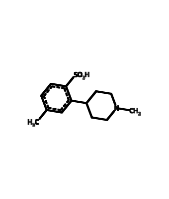 Cc1ccc(S(=O)(=O)O)c(C2CCN(C)CC2)c1